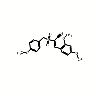 COc1ccc(CS(=O)(=O)C(C#N)=Cc2ccc(OC)cc2OC)cc1